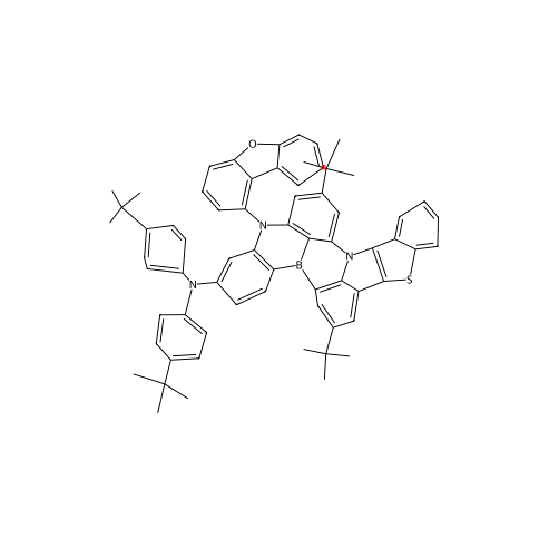 CC(C)(C)c1ccc(N(c2ccc(C(C)(C)C)cc2)c2ccc3c(c2)N(c2cccc4oc5ccccc5c24)c2cc(C(C)(C)C)cc4c2B3c2cc(C(C)(C)C)cc3c5sc6ccccc6c5n-4c23)cc1